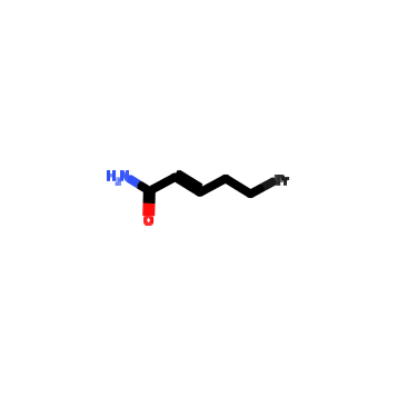 CC(C)CCC=CC(N)=O